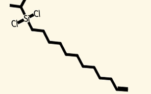 C=CCCCCCCCCCC[Si](Cl)(Cl)C(C)C